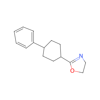 c1ccc(C2CCC(C3=NCCO3)CC2)cc1